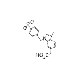 Cc1cn(Cc2ccc(S(C)(=O)=O)cc2)c2cc(CC(=O)O)ccc12